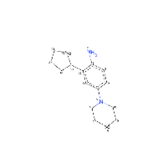 Nc1ccc(N2CC[Se]CC2)cc1C1[CH]CC[Se]1